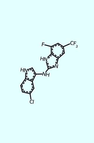 Fc1cc(C(F)(F)F)cc2nc(Nc3c[nH]c4ccc(Cl)cc34)[nH]c12